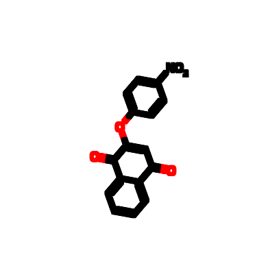 O=C1C=C(Oc2ccc([N+](=O)[O-])cc2)C(=O)c2ccccc21